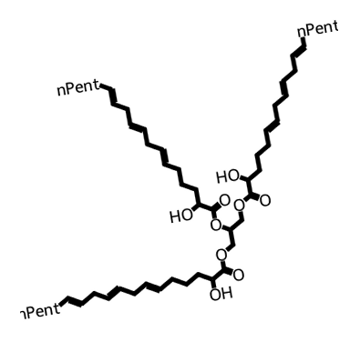 CCCCCC=CCC=CCC=CCCCC(O)C(=O)OCC(COC(=O)C(O)CCCC=CCC=CCC=CCCCCC)OC(=O)C(O)CCCC=CCC=CCC=CCCCCC